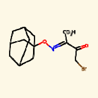 O=C(O)/C(=N\OC12CC3CC(CC(C3)C1)C2)C(=O)CBr